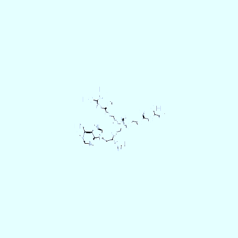 CC(C)OC(=O)OCOP(=O)(CO[C@H](C)Cn1cnc2c(N)ncnc21)OCOC(=O)OC(C)C.[H+]